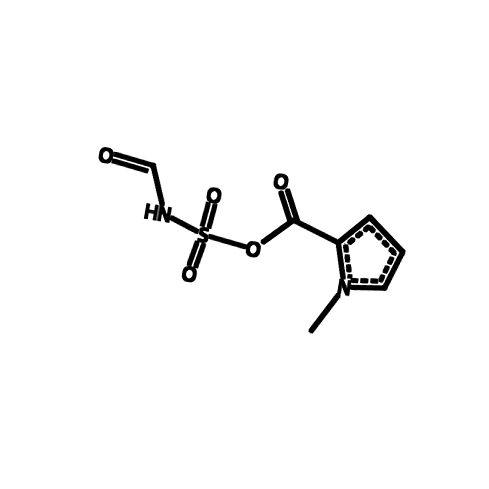 Cn1cccc1C(=O)OS(=O)(=O)NC=O